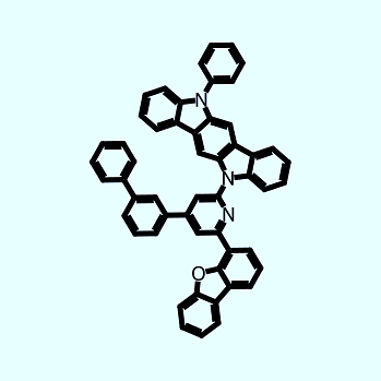 c1ccc(-c2cccc(-c3cc(-c4cccc5c4oc4ccccc45)nc(-n4c5ccccc5c5cc6c(cc54)c4ccccc4n6-c4ccccc4)c3)c2)cc1